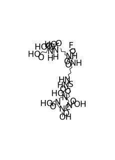 O=C(O)CC[C@H](NC(=O)N[C@@H](CCCCNC(=O)[C@H](Cc1ccc(F)cc1)NC(=O)CCCCCNC(=S)Nc1ccc(CC2CN(CC(=O)O)CCN(CC(=O)O)CCN(CC(=O)O)CCN2CC(=O)O)cc1)C(=O)O)C(=O)O